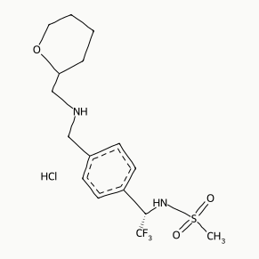 CS(=O)(=O)N[C@@H](c1ccc(CNCC2CCCCO2)cc1)C(F)(F)F.Cl